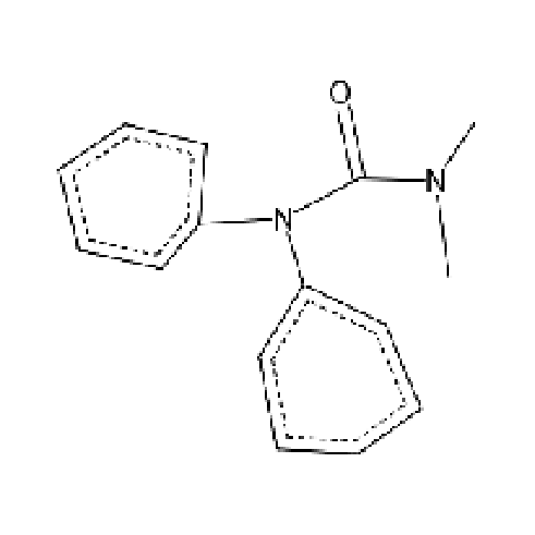 CN(C)C(=O)N(c1ccccc1)c1ccccc1